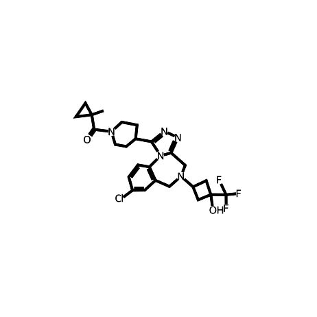 CC1(C(=O)N2CCC(c3nnc4n3-c3ccc(Cl)cc3CN(C3CC(O)(C(F)(F)F)C3)C4)CC2)CC1